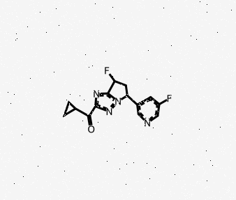 O=C(c1nc2n(n1)C(c1cncc(F)c1)CC2F)C1CC1